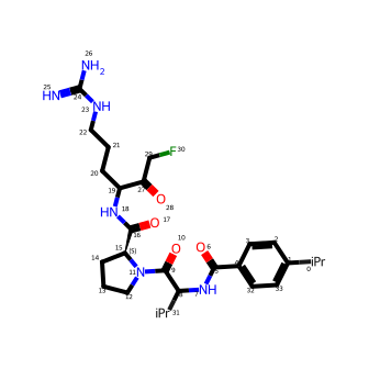 CC(C)c1ccc(C(=O)NC(C(=O)N2CCC[C@H]2C(=O)NC(CCCNC(=N)N)C(=O)CF)C(C)C)cc1